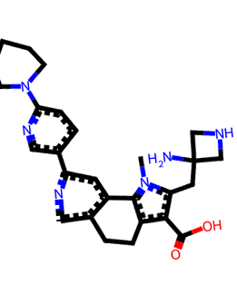 Cn1c(CC2(N)CNC2)c(C(=O)O)c2c1-c1cc(-c3ccc(N4CCCCC4)nc3)ncc1CC2